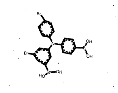 OB(O)c1ccc(N(c2ccc(Br)cc2)c2cc(Br)cc(B(O)O)c2)cc1